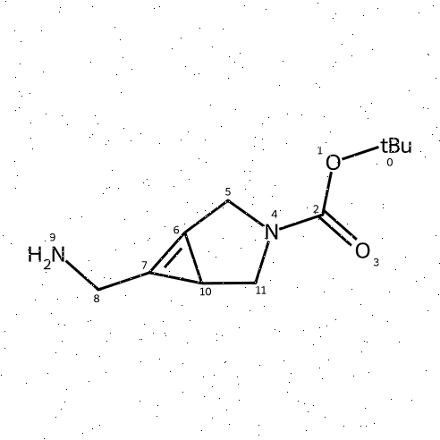 CC(C)(C)OC(=O)N1CC2=C(CN)C2C1